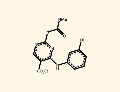 CCOC(=O)c1cnc(NC(=O)NC)nc1Nc1cccc(O)c1